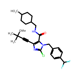 COC(C)(C)C#Cc1nc(Cl)n(Cc2ccc(C(F)F)cc2)c1C(=O)NCC1CCC(C(=O)O)CC1